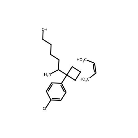 NC(CCCCO)C1(c2ccc(Cl)cc2)CCC1.O=C(O)/C=C\C(=O)O